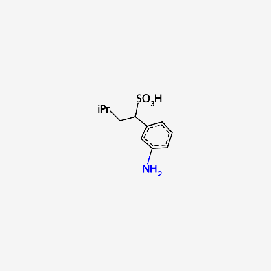 CC(C)CC(c1cccc(N)c1)S(=O)(=O)O